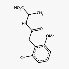 COc1cccc(Cl)c1CC(=O)NC(C)C(=O)O